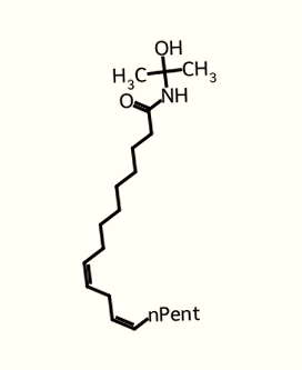 CCCCC/C=C\C/C=C\CCCCCCCC(=O)NC(C)(C)O